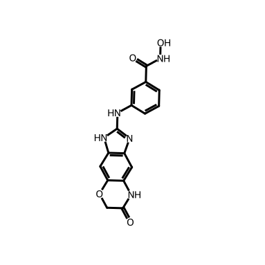 O=C1COc2cc3[nH]c(Nc4cccc(C(=O)NO)c4)nc3cc2N1